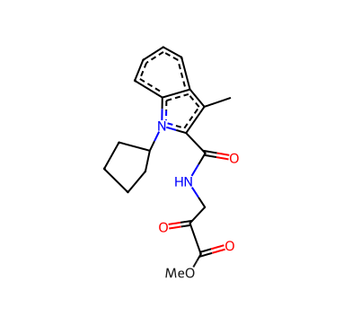 COC(=O)C(=O)CNC(=O)c1c(C)c2ccccc2n1C1CCCC1